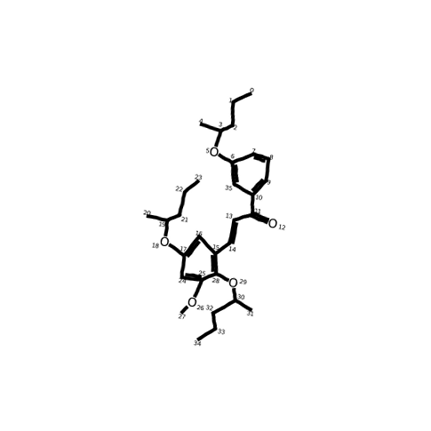 CCCC(C)Oc1cccc(C(=O)C=Cc2cc(OC(C)CCC)cc(OC)c2OC(C)CCC)c1